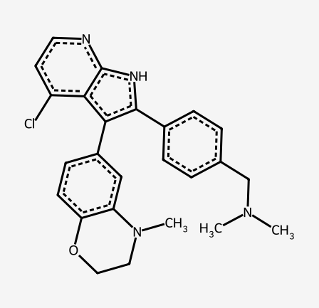 CN(C)Cc1ccc(-c2[nH]c3nccc(Cl)c3c2-c2ccc3c(c2)N(C)CCO3)cc1